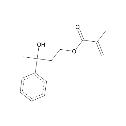 C=C(C)C(=O)OCCC(C)(O)c1ccccc1